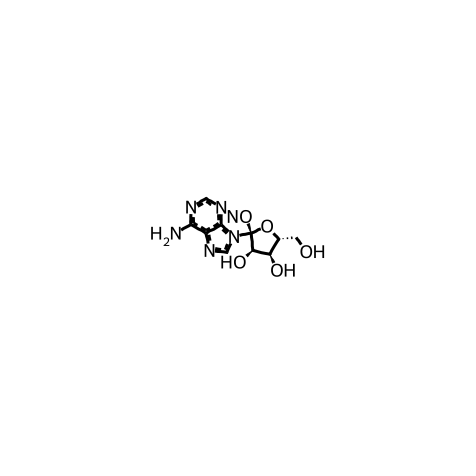 Nc1ncnc2c1ncn2[C@]1(N=O)O[C@H](CO)[C@@H](O)[C@H]1O